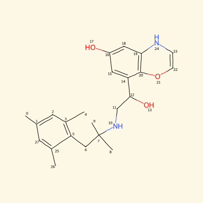 Cc1cc(C)c(CC(C)(C)NCC(O)c2cc(O)cc3c2OC=CN3)c(C)c1